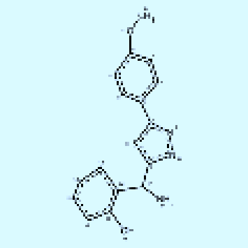 COc1ccc(-c2nnc(C(N)c3ccccc3O)s2)cc1